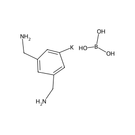 NCc1c[c]([K])cc(CN)c1.OB(O)O